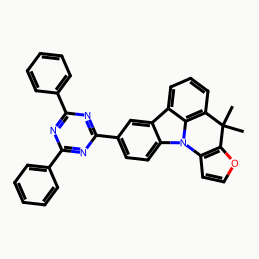 CC1(C)c2occc2-n2c3ccc(-c4nc(-c5ccccc5)nc(-c5ccccc5)n4)cc3c3cccc1c32